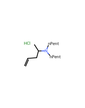 C=CCC(C)N(CCCCC)CCCCC.Cl